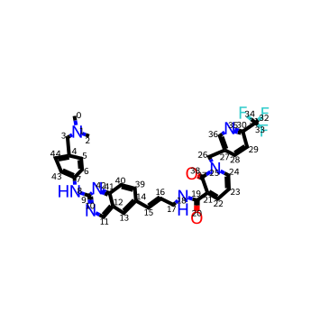 CN(C)Cc1ccc(Nc2ncc3cc(/C=C/CNC(=O)c4cccn(Cc5ccc(C(F)(F)F)nc5)c4=O)ccc3n2)cc1